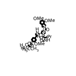 COC(=O)NC(C(=O)N1CN(C(=O)N2Cc3ccc(OC)c(OC)c3C2)C[C@H]1c1nc(-c2ccc(B3OC(C)(C)C(C)(C)O3)cc2)c[nH]1)C(C)C